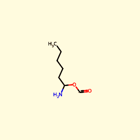 CCCCCC(N)O[C]=O